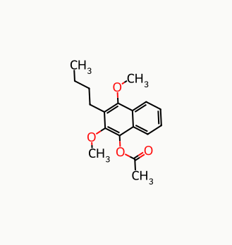 CCCCc1c(OC)c(OC(C)=O)c2ccccc2c1OC